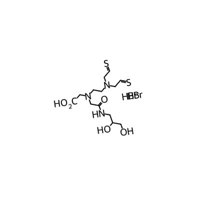 Br.Br.O=C(O)CN(CCN(CC=S)CC=S)CC(=O)NCC(O)CO